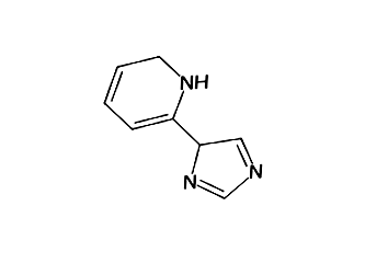 C1=CCNC(C2C=NC=N2)=C1